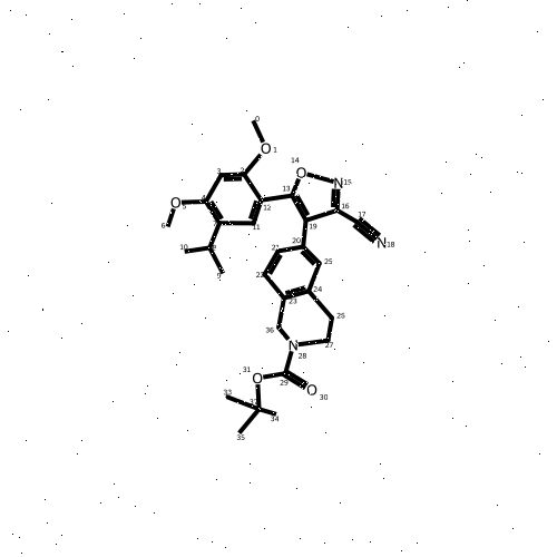 COc1cc(OC)c(C(C)C)cc1-c1onc(C#N)c1-c1ccc2c(c1)CCN(C(=O)OC(C)(C)C)C2